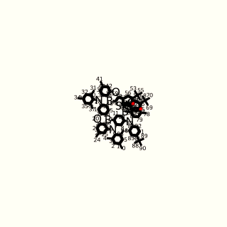 Cc1cc(C)c(N2c3cc4c(cc3B3c5cc6c(cc5Oc5cc(C)cc2c53)N(c2c(C)cc(C)cc2C)c2cc(C)cc3c2B6c2sc5ccc(C(C)(C)C)cc5c2O3)B2c3sc5ccc(C(C)(C)C)cc5c3Oc3cc(C)cc(c32)N4c2ccc(C(C)(C)C)cc2)c(C)c1